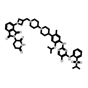 Cc1cc(Nc2ncc(Cl)c(Nc3ccccc3S(=O)(=O)C(C)C)n2)c(OC(C)C)cc1C1CCN(C2CCN(CC3CN(c4cccc5c4C(=O)N(C4CCC(=O)NC4=O)C5=O)C3)CC2)CC1